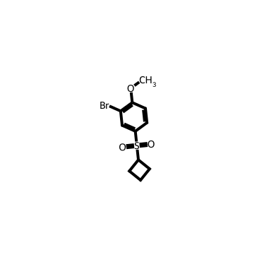 COc1ccc(S(=O)(=O)C2CCC2)cc1Br